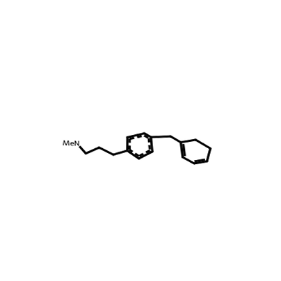 CNCCCc1ccc(CC2=CC=CCC2)cc1